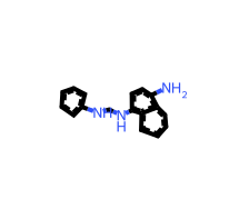 Nc1ccc(NCNc2ccccc2)c2ccccc12